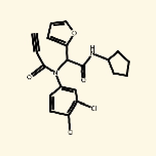 C#CC(=O)N(c1ccc(Cl)c(Cl)c1)C(C(=O)NC1CCCC1)c1ccco1